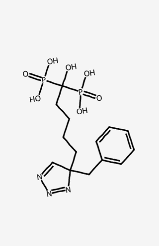 O=P(O)(O)C(O)(CCCCC1(Cc2ccccc2)C=NN=N1)P(=O)(O)O